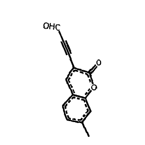 Cc1ccc2cc(C#CC=O)c(=O)oc2c1